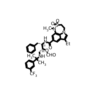 CCc1cn2c3c(cc(C(=O)N[C@@H](Cc4ccccc4)[C@@H](CNC(C)(C)c4cccc(C(F)(F)F)c4)OC=O)cc13)N(C)S(=O)(=O)CC2